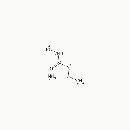 CC=NC(=O)NCC.N